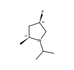 CC(C)N1C[C@H](F)C[C@@H]1C